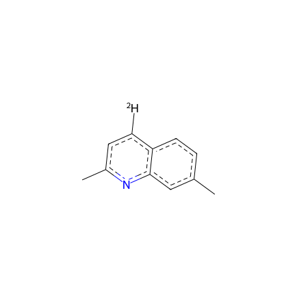 [2H]c1cc(C)nc2cc(C)ccc12